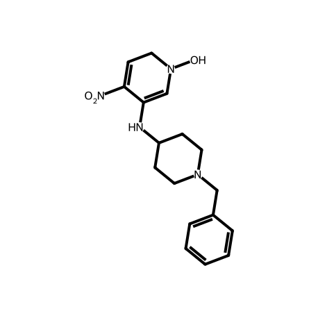 O=[N+]([O-])C1=CCN(O)C=C1NC1CCN(Cc2ccccc2)CC1